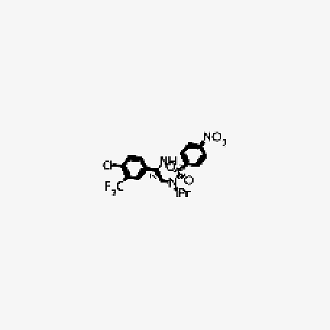 CC(C)N(C[C@@H](N)c1ccc(Cl)c(C(F)(F)F)c1)S(=O)(=O)c1ccc([N+](=O)[O-])cc1